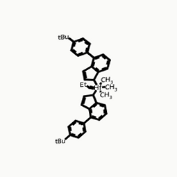 CC[CH]=[Hf]([CH3])([CH3])([CH3])([CH]1C=Cc2c(-c3ccc(C(C)(C)C)cc3)cccc21)[CH]1C=Cc2c(-c3ccc(C(C)(C)C)cc3)cccc21